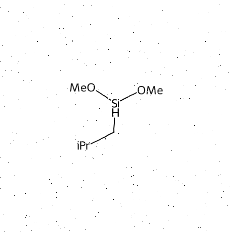 CO[SiH](CC(C)C)OC